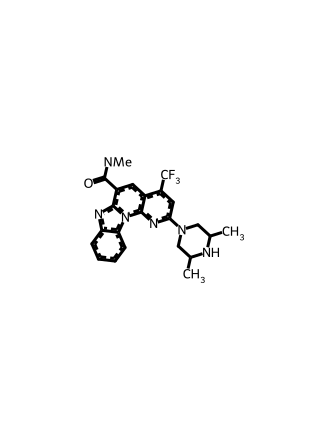 CNC(=O)c1cc2c(C(F)(F)F)cc(N3CC(C)NC(C)C3)nc2n2c1nc1ccccc12